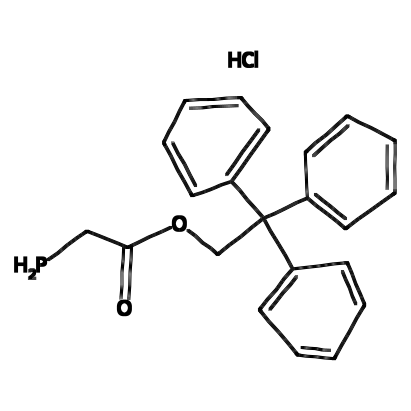 Cl.O=C(CP)OCC(c1ccccc1)(c1ccccc1)c1ccccc1